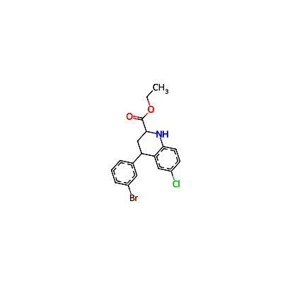 CCOC(=O)C1CC(c2cccc(Br)c2)c2cc(Cl)ccc2N1